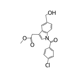 COC(=O)Cc1cn(C(=O)c2ccc(Cl)cc2)c2ccc(CO)cc12